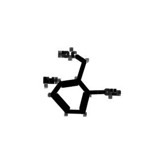 COc1ccccc1CC(=O)O.[NaH]